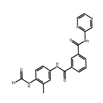 CCC(=O)Nc1ccc(NC(=O)c2cccc(C(=O)Nc3cnccn3)c2)cc1C